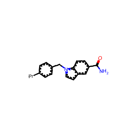 CC(C)c1ccc(Cn2ccc3cc(C(N)=O)ccc32)cc1